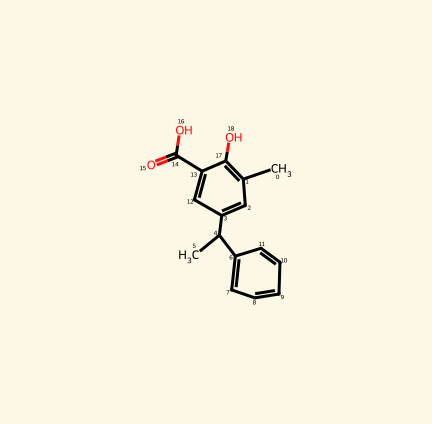 Cc1cc(C(C)c2ccccc2)cc(C(=O)O)c1O